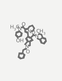 C[C@@H]1Cc2ccccc2CN1C(=O)c1cc2c(cc1-c1cc(C(=O)N(C)c3ccc(O)cc3)c3n1CCCC3)CN(C(=O)Cc1ccccc1)C2